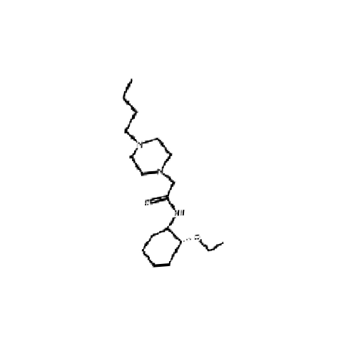 CCCCN1CCN(CC(=O)N[C@@H]2CCCC[C@H]2OCC)CC1